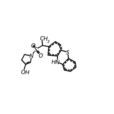 CC(c1ccc2c(c1)Nc1ccccc1S2)S(=O)(=O)N1C=C(O)CC1